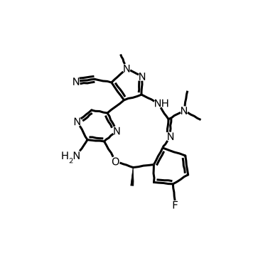 C[C@H]1Oc2nc(cnc2N)-c2c(nn(C)c2C#N)N/C(N(C)C)=N\c2ccc(F)cc21